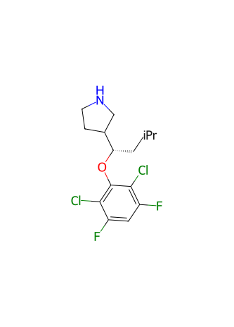 CC(C)C[C@H](Oc1c(Cl)c(F)cc(F)c1Cl)C1CCNC1